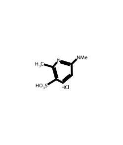 CNc1ccc(S(=O)(=O)O)c(C)n1.Cl